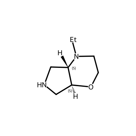 CCN1CCO[C@H]2CNC[C@@H]21